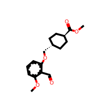 COc1cccc(OC[C@H]2CC[C@H](C(=O)OC)CC2)c1C=O